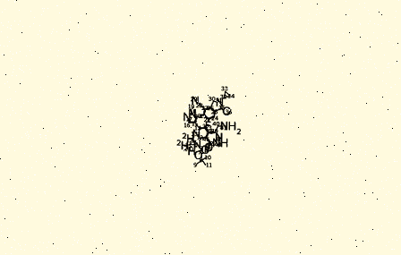 [2H]C([2H])([2H])N(C(=O)OC(C)(C)C)c1nc(-c2cnn(C)c2-c2c(F)cc3c(c2C#N)CN(C2CC2)C3=O)cc2c(CN)n[nH]c(=O)c12